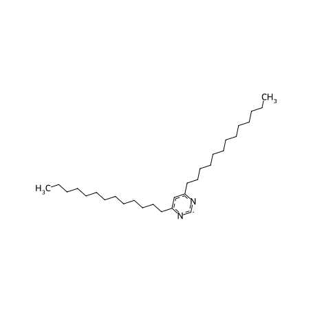 CCCCCCCCCCCCCc1cc(CCCCCCCCCCCCC)n[c]n1